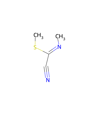 C/N=C(/C#N)SC